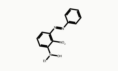 CCN(O)c1cccc(N=Nc2ccccc2)c1[N+](=O)[O-]